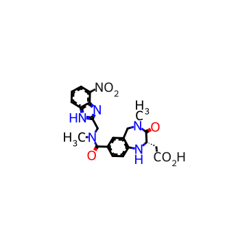 CN(Cc1nc2c([N+](=O)[O-])cccc2[nH]1)C(=O)c1ccc2c(c1)CN(C)C(=O)[C@H](CC(=O)O)N2